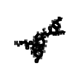 CC(C)[C@@H](NC(=O)C[C@@H](C)[C@H]1CC[C@H]2[C@@H]3[C@H](OC(=O)CN)C[C@@H]4CC(=O)CC[C@]4(C)[C@H]3CC[C@]12C)c1ccc(Br)s1